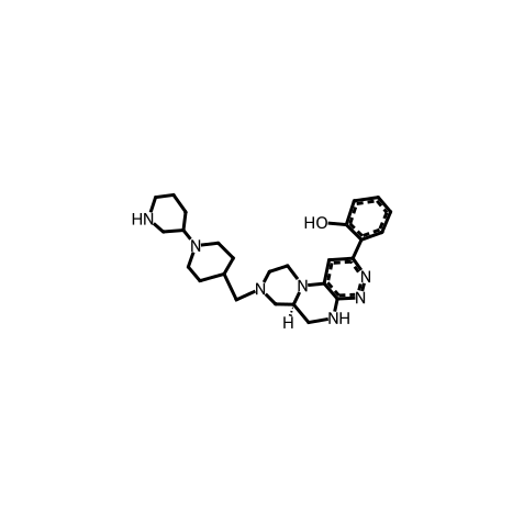 Oc1ccccc1-c1cc2c(nn1)NC[C@H]1CN(CC3CCN(C4CCCNC4)CC3)CCN21